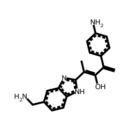 C=C(/C(O)=C(\C)c1nc2cc(CN)ccc2[nH]1)c1ccc(N)cc1